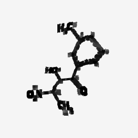 Cc1cccc(C(=O)C(O)C(C)[N+](=O)[O-])c1